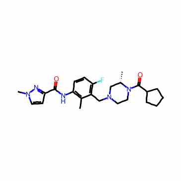 Cc1c(NC(=O)c2ccn(C)n2)ccc(F)c1CN1CCN(C(=O)C2CCCC2)[C@@H](C)C1